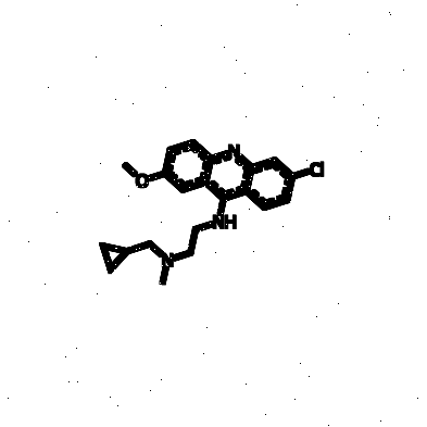 COc1ccc2nc3cc(Cl)ccc3c(NCCN(C)CC3CC3)c2c1